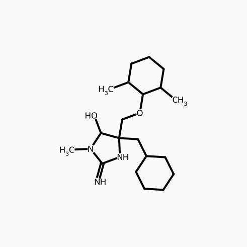 CC1CCCC(C)C1OCC1(CC2CCCCC2)NC(=N)N(C)C1O